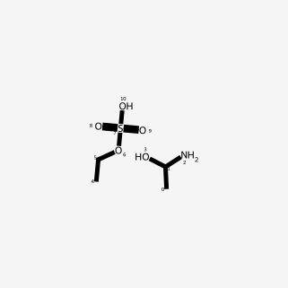 CC(N)O.CCOS(=O)(=O)O